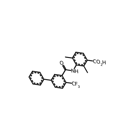 Cc1ccc(C(=O)O)c(C)c1NC(=O)c1cc(-c2ccccc2)ccc1C(F)(F)F